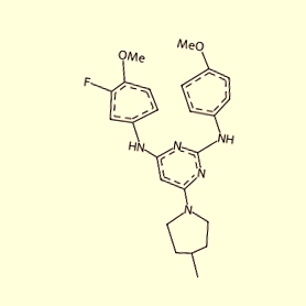 COc1ccc(Nc2nc(Nc3ccc(OC)c(F)c3)cc(N3CCC(C)CC3)n2)cc1